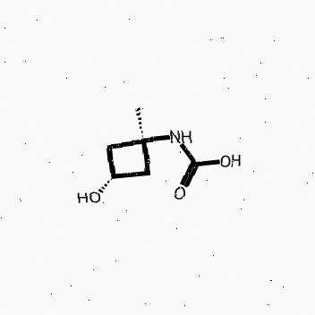 C[C@]1(NC(=O)O)C[C@H](O)C1